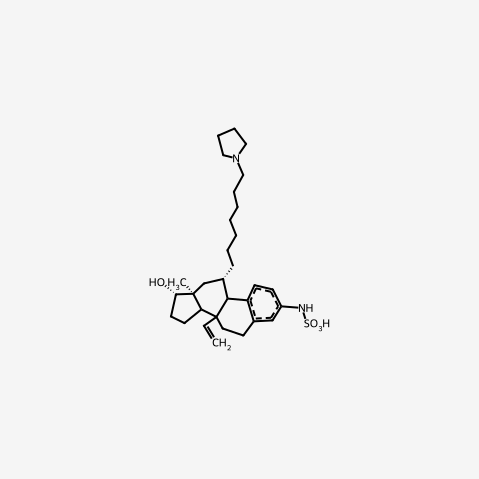 C=CC12CCc3cc(NS(=O)(=O)O)ccc3C1[C@@H](CCCCCCCN1CCCC1)C[C@@]1(C)C2CC[C@@H]1O